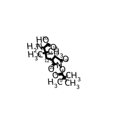 CC(C)(C)C(=O)ON1C(=O)CC(CC(C)(C)C(N)C(=O)O)C1=O